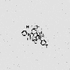 Cc1[nH]n(-c2ccc(F)cc2)c(=O)c1C1(C(F)(F)F)C(=O)N(c2ccccc2)C2=C1C(=O)CC(C)(C)C2